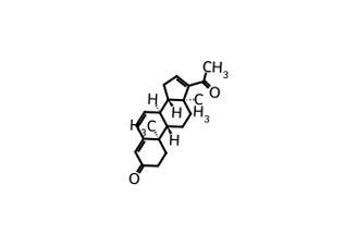 CC(=O)C1=CC[C@H]2[C@@H]3C=CC4=CC(=O)CC[C@]4(C)[C@H]3CC[C@]12C